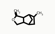 C=C1OCC2C3CC(C)C(C3)C12